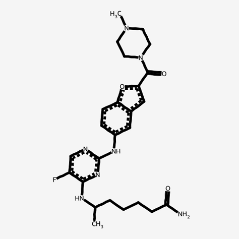 CC(CCCCC(N)=O)Nc1nc(Nc2ccc3oc(C(=O)N4CCN(C)CC4)cc3c2)ncc1F